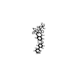 COC(=O)C1(NC(=O)OC(C)(C)C)CCc2cc(Oc3ccc(-c4cccnc4)cc3)ccc2C1